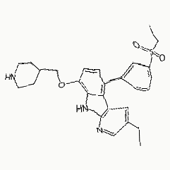 CCc1cnc2[nH]c3c(OCC4CCNCC4)ccc(-c4cccc(S(=O)(=O)CC)c4)c3c2c1